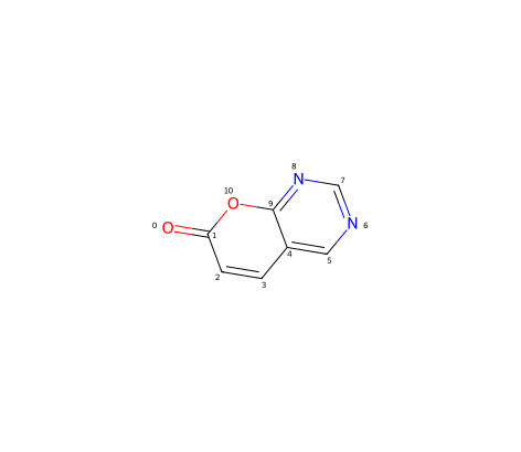 O=c1ccc2cncnc2o1